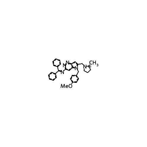 COc1ccc(Cn2c(CN3CCC[C@@H]3C)cc3nnc(N=C(c4ccccc4)c4ccccc4)cc32)cc1